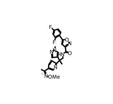 CO/N=C(/C)c1ccc(C(C)(CNC(=O)c2cc(-c3ccc(F)cc3F)on2)c2cnn(C)c2)nc1